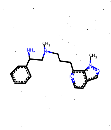 CN(CCCc1nccc2cnn(C)c12)CC(N)c1ccccc1